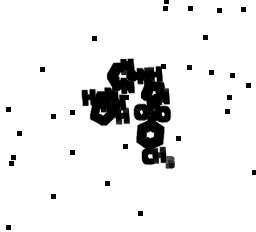 Cc1ccc(S(=O)(=O)n2cc(Nc3nccc(N4C[C@H]5CC[C@@H](C4)N5)n3)cn2)cc1